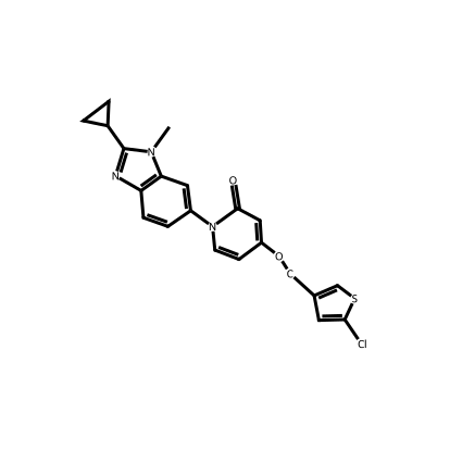 Cn1c(C2CC2)nc2ccc(-n3ccc(OCc4csc(Cl)c4)cc3=O)cc21